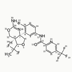 CC(F)(F)C1OC[C@]2(c3cc(NC(=O)c4ccc(C(F)(F)F)cn4)ccc3F)N=C(N)OC[C@H]12